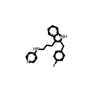 Fc1ccc(Cc2[nH]c3ccccc3c2CCCNc2ccncc2)cc1